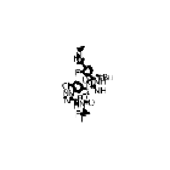 CC(C)(C)C[C@]1(c2ccc(-c3cnn(C4CC4)c3)c(F)c2)NC(=N)N([C@H](COC(=O)NC2CC2(F)F)c2ccc(Cl)c(-n3ncnc3C(F)F)c2)C1=O